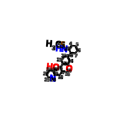 CSNc1ccccc1-c1ccc2c(c1)OCC(Cc1ccccn1)C2O